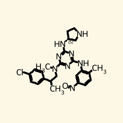 Cc1ccc(N=O)cc1Nc1nc(N[C@H]2CCNC2)nc(N(C)CC(C)c2ccc(Cl)cc2)n1